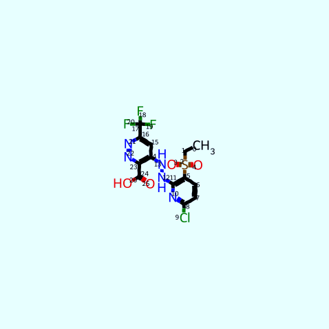 CCS(=O)(=O)c1ccc(Cl)nc1NNc1cc(C(F)(F)F)nnc1C(=O)O